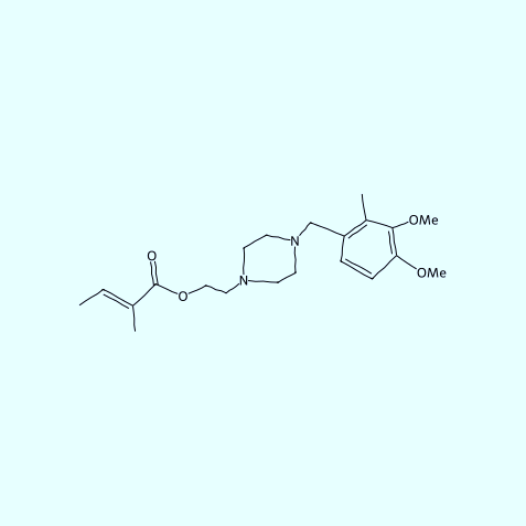 C/C=C(\C)C(=O)OCCN1CCN(Cc2ccc(OC)c(OC)c2C)CC1